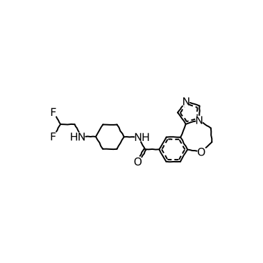 O=C(NC1CCC(NCC(F)F)CC1)c1ccc2c(c1)-c1cncn1CCO2